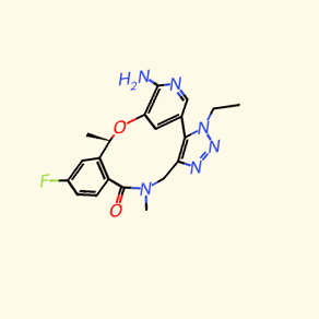 CCn1nnc2c1-c1cnc(N)c(c1)O[C@H](C)c1cc(F)ccc1C(=O)N(C)C2